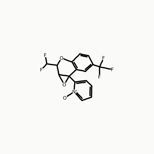 [O-][n+]1ccccc1C12OC1C(C(F)F)Oc1ccc(C(F)(F)F)cc12